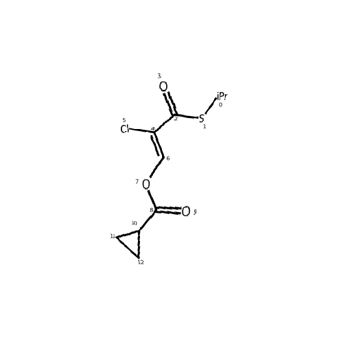 CC(C)SC(=O)C(Cl)=COC(=O)C1CC1